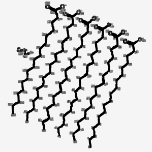 CCCCCCCCCCCCCCCCCC(=O)[O-].CCCCCCCCCCCCCCCCCC(=O)[O-].CCCCCCCCCCCCCCCCCC(=O)[O-].CCCCCCCCCCCCCCCCCC(=O)[O-].CCCCCCCCCCCCCCCCCC(=O)[O-].CCCCCCCCCCCCCCCCCC(=O)[O-].[Ce+3].[La+3]